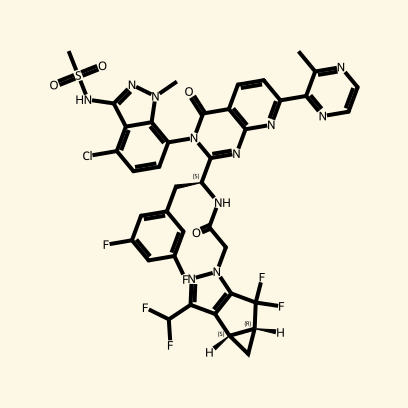 Cc1nccnc1-c1ccc2c(=O)n(-c3ccc(Cl)c4c(NS(C)(=O)=O)nn(C)c34)c([C@H](Cc3cc(F)cc(F)c3)NC(=O)Cn3nc(C(F)F)c4c3C(F)(F)[C@@H]3C[C@H]43)nc2n1